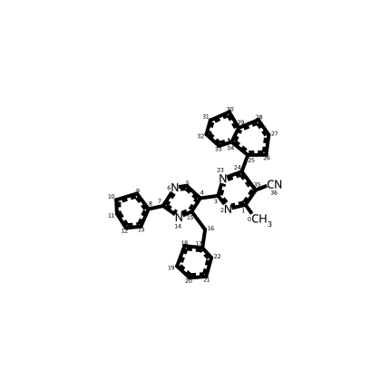 Cc1nc(-c2cnc(-c3ccccc3)nc2Cc2ccccc2)nc(-c2cccc3ccccc23)c1C#N